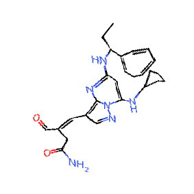 CC[C@H](Nc1cc(NC2CC2)n2ncc(/C=C(/C=O)CC(N)=O)c2n1)c1ccccc1